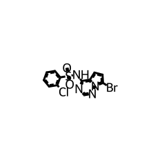 O=S(=O)(Nc1ncnn2c(Br)ccc12)c1ccccc1Cl